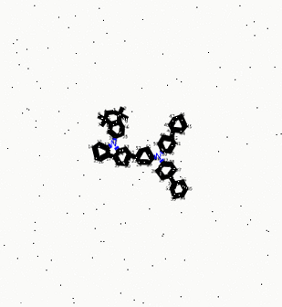 CC1(C)CCC(C)(C)c2cc(-n3c4ccccc4c4ccc(-c5ccc(N(c6ccc(-c7ccccc7)cc6)c6ccc(-c7ccccc7)cc6)cc5)cc43)ccc21